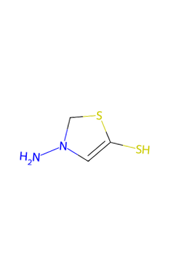 NN1C=C(S)SC1